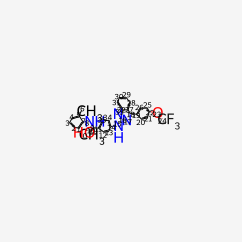 Cc1cccc(C)c1NC(O)c1ccc(Nc2nc(-c3ccc(OC(F)(F)F)cc3)c3ccccc3n2)cc1